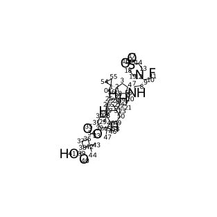 CC1([C@@H]2CC[C@]3(NCC[C@@H](CF)N4CCS(=O)(=O)CC4)CC[C@]4(C)[C@H](CC[C@@H]5[C@@]6(C)CC[C@H](OC(=O)[C@H]7C[C@@H](C(=O)O)C7(C)C)C(C)(C)[C@@H]6CC[C@]54C)[C@@H]23)CC1